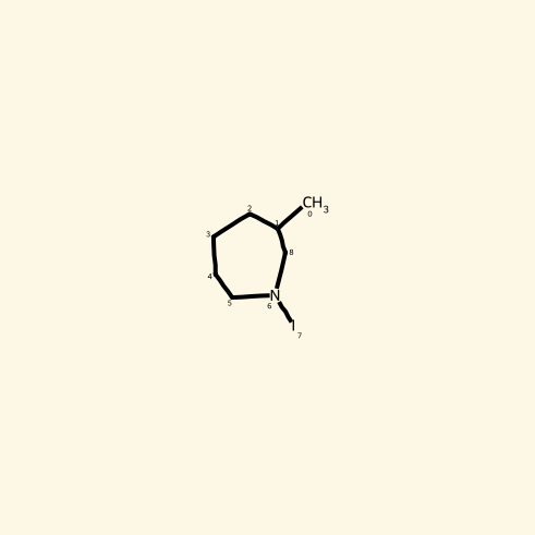 CC1CCCCN(I)C1